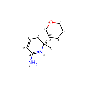 CC1([C@H]2CCCOC2)CC=CC(N)=N1